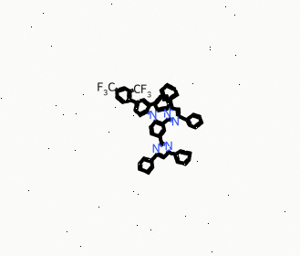 FC(F)(F)c1ccc(-c2ccc3c(c2)c2ccccc2n3-c2ccc(-c3nc(-c4ccccc4)cc(-c4ccccc4)n3)cc2-c2nc(-c3ccccc3)cc(-c3ccccc3)n2)c(C(F)(F)F)c1